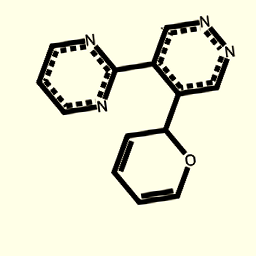 [c]1nncc(C2C=CC=CO2)c1-c1ncccn1